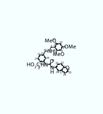 CC(=O)O.COc1cc(OC)c(CNCc2cccc(NC(=O)Nc3ccc4occc4c3)c2)c(OC)c1